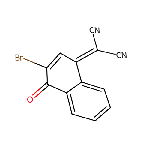 N#CC(C#N)=C1C=C(Br)C(=O)c2ccccc21